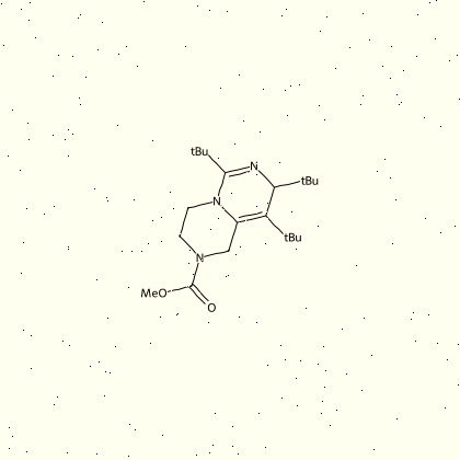 COC(=O)N1CCN2C(C(C)(C)C)=NC(C(C)(C)C)C(C(C)(C)C)=C2C1